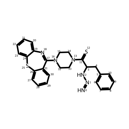 N=NNC(Cc1ccccc1)C(=S)N1CCN(C2=Nc3ccccc3Sc3ccccc32)CC1